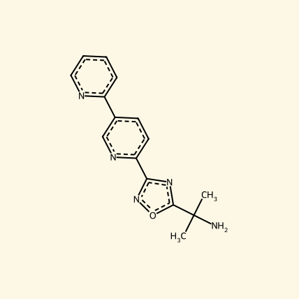 CC(C)(N)c1nc(-c2ccc(-c3ccccn3)cn2)no1